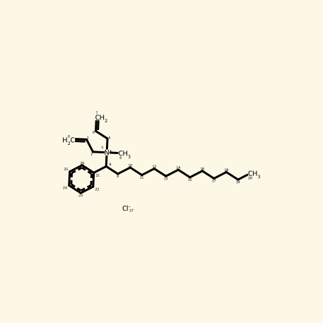 C=CC[N+](C)(CC=C)C(CCCCCCCCCCCC)c1ccccc1.[Cl-]